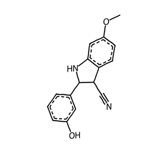 COc1ccc2c(c1)NC(c1cccc(O)c1)C2C#N